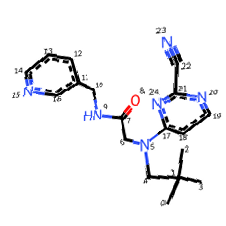 CC(C)(C)CN(CC(=O)NCc1cccnc1)c1ccnc(C#N)n1